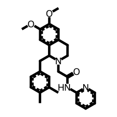 COc1cc2c(cc1OC)C(Cc1ccc(C)c(C)c1)N(CC(=O)Nc1ccccn1)CC2